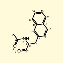 CC(=O)N[C@@H]([C]=O)Cc1ccc2ccccc2c1